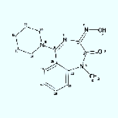 Cn1c(=O)c(=NO)nc(N2CCCCC2)c2ccccc21